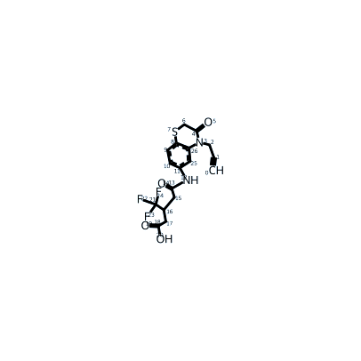 C#CCN1C(=O)CSc2ccc(NC(=O)CC(CC(=O)O)C(F)(F)F)cc21